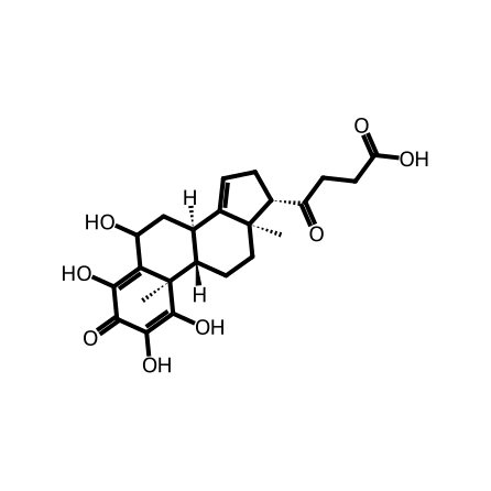 C[C@]12C(O)=C(O)C(=O)C(O)=C1C(O)C[C@H]1C3=CC[C@H](C(=O)CCC(=O)O)[C@@]3(C)CC[C@@H]12